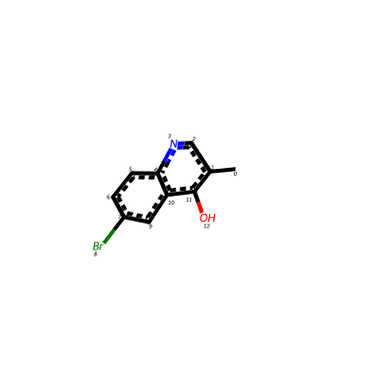 Cc1cnc2ccc(Br)cc2c1O